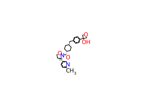 Cc1ccc([C@@H]2CCON2C(=O)[C@H]2CC[C@H](Cc3ccc(C4(O)COC4)cc3)CC2)cn1